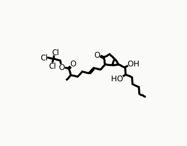 CCCCCC(O)C(O)C1C2CC(=O)C(CC=CCCC(C)C(=O)OCC(Cl)(Cl)Cl)C21